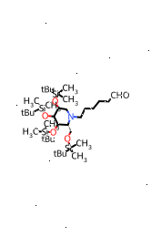 CC(C)(C)[Si](C)(C)OC[C@@H]1C(O[Si](C)(C)C(C)(C)C)C(O[Si](C)(C)C(C)(C)C)C(O[Si](C)(C)C(C)(C)C)CN1CCCCCC=O